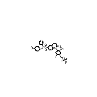 COc1ccc(CN(c2ccon2)S(=O)(=O)c2ccc3c(ccc(=O)n3-c3cc(F)c(COC(F)(F)F)cc3OC)c2)cc1